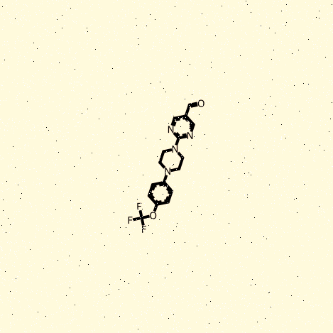 O=Cc1cnc(N2CCN(c3ccc(OC(F)(F)F)cc3)CC2)nc1